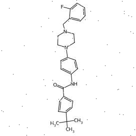 CC(C)(C)c1ccc(C(=O)Nc2ccc(N3CCN(Cc4ccccc4F)CC3)cc2)cc1